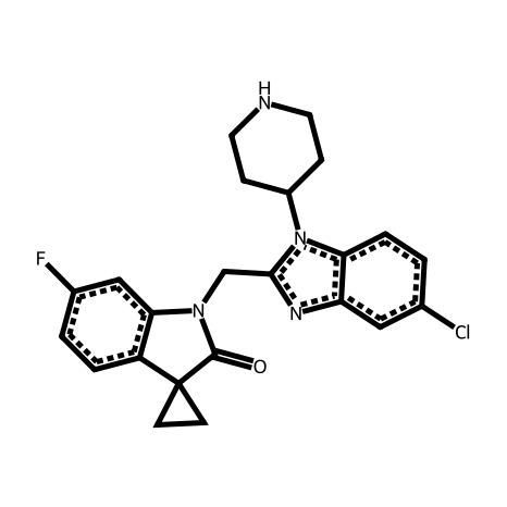 O=C1N(Cc2nc3cc(Cl)ccc3n2C2CCNCC2)c2cc(F)ccc2C12CC2